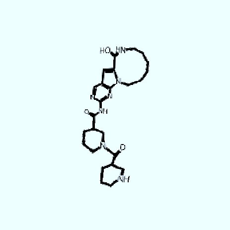 O=C(Nc1ncc2cc3n(c2n1)CCCCCCNC3O)C1CCCN(C(=O)C2CCCNC2)C1